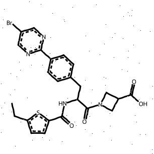 CCc1ccc(C(=O)NC(Cc2ccc(-c3ncc(Br)cn3)cc2)C(=O)N2CC(C(=O)O)C2)s1